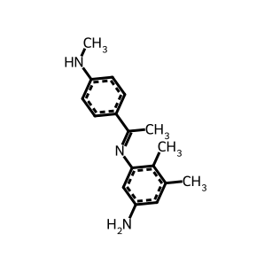 CNc1ccc(/C(C)=N/c2cc(N)cc(C)c2C)cc1